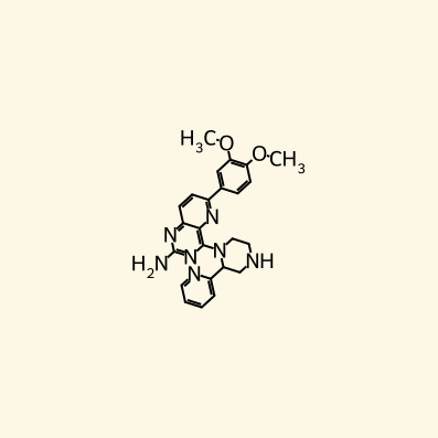 COc1ccc(-c2ccc3nc(N)nc(N4CCNCC4c4ccccn4)c3n2)cc1OC